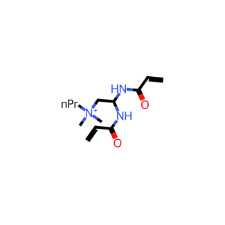 C=CC(=O)NC(C[N+](C)(C)CCC)NC(=O)C=C